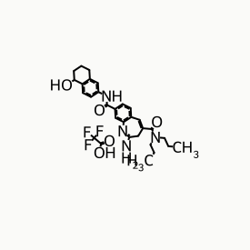 CCCN(CCC)C(=O)C1=Cc2ccc(C(=O)Nc3ccc4c(c3)CCCC4O)cc2N=C(N)C1.O=C(O)C(F)(F)F